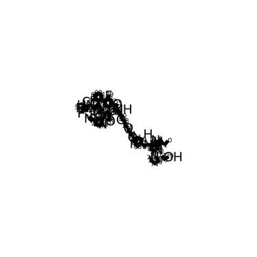 CCc1cnn2c(NCc3ccc(OCCOCCOCCNS(=O)(=O)c4cc(F)cc(N(C(=O)[C@@H]5CCC(=O)N5c5cc(C#N)ccn5)C(C(=O)NC5CC(F)(F)C5)c5ccccc5Cl)c4)nc3)cc(N3CCCC[C@H]3CCO)nc12